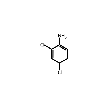 NC1=CCC(Cl)C=C1Cl